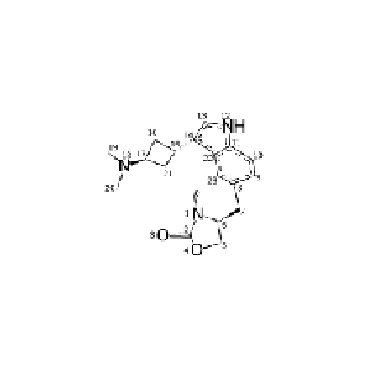 CN1C(=O)OC[C@@H]1Cc1ccc2[nH]cc([C@H]3C[C@H](N(C)C)C3)c2c1